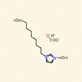 CCCCCCCCCCCCCCCCCCn1cc[n+](CCCCCCCC)c1.O=C([O-])[O-].[H+]